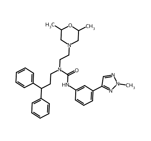 CC1CN(CCN(CCC(c2ccccc2)c2ccccc2)C(=O)Nc2cccc(-c3cnn(C)n3)c2)CC(C)O1